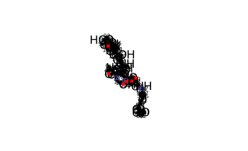 CCN(C(C)=O)C1COC(OC2C(O[C@H]3C#C/C=C\C#C[C@]4(O)CC(=O)C(NC(=O)OC)=C3/C4=C\CSSC(C)(C)CC(=O)N/N=C(\C)c3ccc(OCCCC(=O)ON4C(=O)CCC4=O)cc3)OC(C)C(NOC3CC(O)C(SC(=O)c4c(C)c(I)c(OC5OC(C)C(O)C(OC)C5O)c(OC)c4OC)C(C)O3)C2O)CC1OC